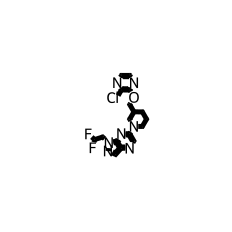 FC(F)Cn1ncc2ncc(N3CCCC(COc4nccnc4Cl)C3)nc21